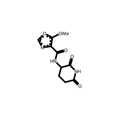 COc1ocnc1C(=O)NC1CCC(=O)NC1=O